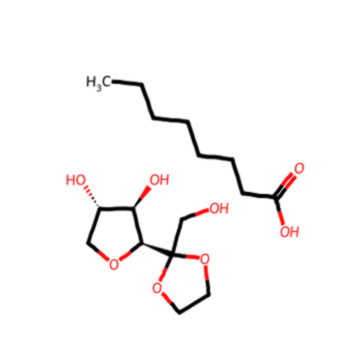 CCCCCCCC(=O)O.OCC1([C@H]2OC[C@H](O)[C@H]2O)OCCO1